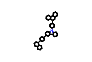 c1ccc2c(-c3ccc(-c4ccc5c(c4)c4ccccc4n5-c4ccc(-c5cc6ccccc6c6ccccc56)cc4)cc3)cccc2c1